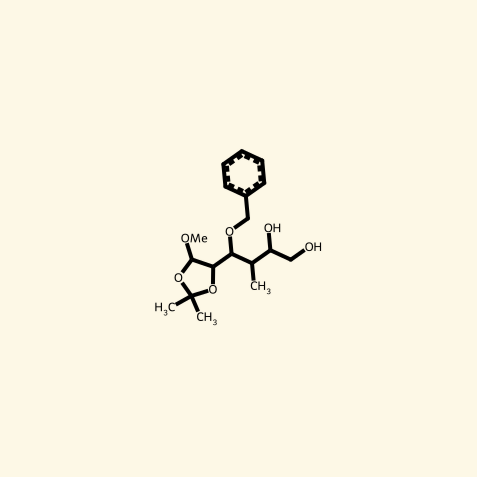 COC1OC(C)(C)OC1C(OCc1ccccc1)C(C)C(O)CO